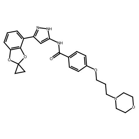 O=C(Nc1cc(-c2cccc3c2OC2(CC2)O3)n[nH]1)c1ccc(OCCCN2CCOCC2)cc1